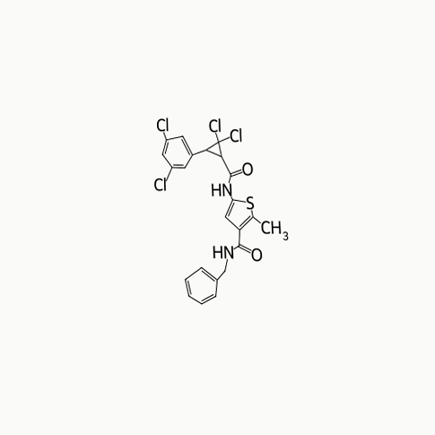 Cc1sc(NC(=O)C2C(c3cc(Cl)cc(Cl)c3)C2(Cl)Cl)cc1C(=O)NCc1ccccc1